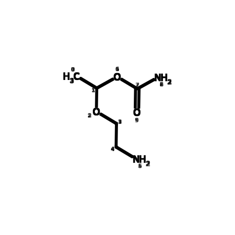 CC(OCCN)OC(N)=O